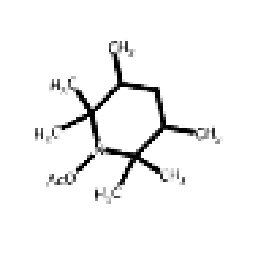 CC(=O)ON1C(C)(C)C(C)CC(C)C1(C)C